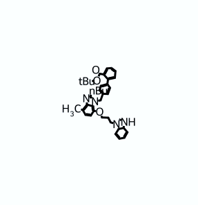 CCCCc1nc2c(C)ccc(OCCCN3CNC4C=CC=CC43)c2n1Cc1ccc(-c2ccccc2C(=O)OC(C)(C)C)cc1